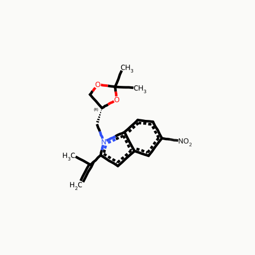 C=C(C)c1cc2cc([N+](=O)[O-])ccc2n1C[C@@H]1COC(C)(C)O1